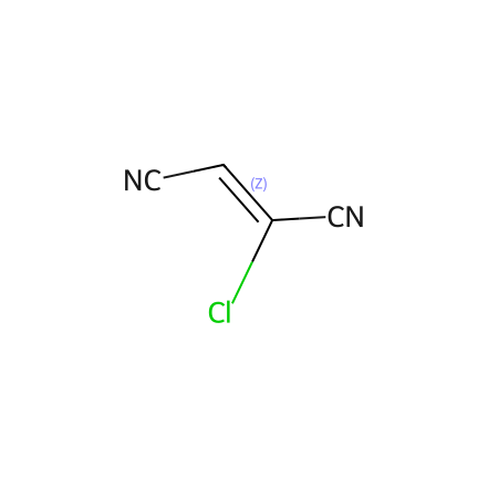 N#C/C=C(\Cl)C#N